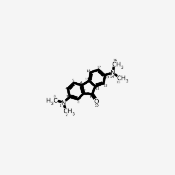 CN(C)c1ccc2c(c1)C(=O)c1cc(N(C)C)ccc1-2